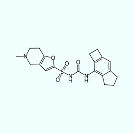 CN1CCc2oc(S(=O)(=O)NC(=O)Nc3c4c(cc5c3CC5)CCC4)cc2C1